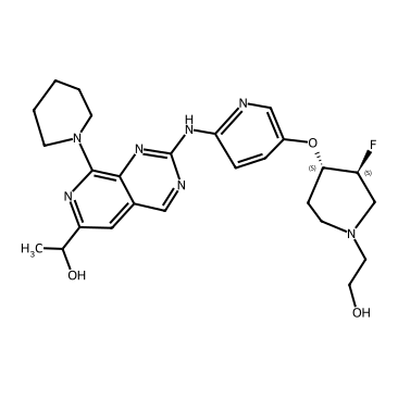 CC(O)c1cc2cnc(Nc3ccc(O[C@H]4CCN(CCO)C[C@@H]4F)cn3)nc2c(N2CCCCC2)n1